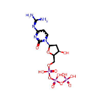 NC(N)=Nc1ccn([C@H]2C[C@@H](O)C(COP(=O)(O)OP(=O)(O)OP(=O)(O)O)O2)c(=O)n1